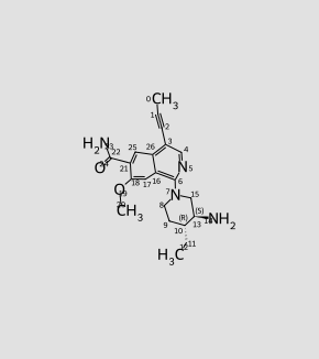 CC#Cc1cnc(N2CC[C@@H](CC)[C@H](N)C2)c2cc(OC)c(C(N)=O)cc12